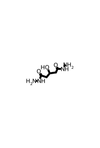 NNC(=O)CC(O)CC(=O)NN